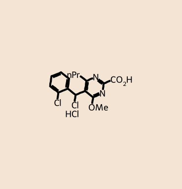 CCCc1nc(C(=O)O)nc(OC)c1C(Cl)c1ccccc1Cl.Cl